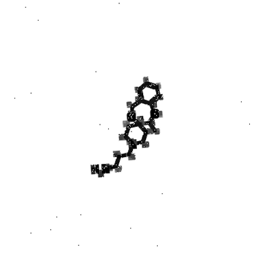 CC1Oc2ccccc2COC12CCN(CCCN)CC2